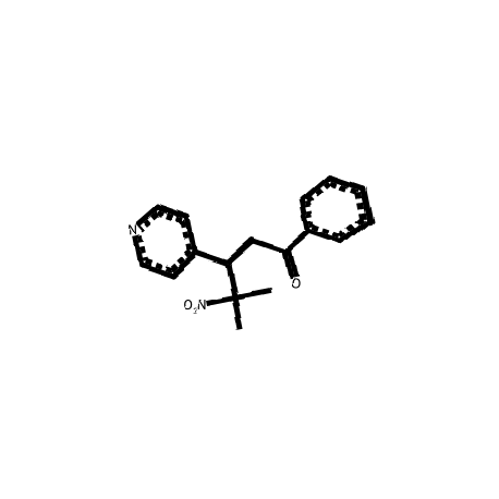 CC(C)(C(CC(=O)c1ccccc1)c1ccncc1)[N+](=O)[O-]